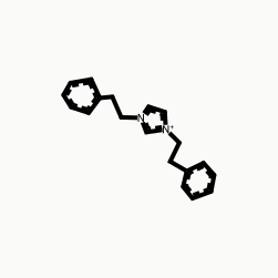 c1ccc(CCn2cc[n+](CCc3ccccc3)c2)cc1